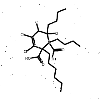 CCCCCCC1(C(=O)O)C(Cl)=C(Cl)C(Cl)C(Cl)(CCCC)C1(CCCC)C(=O)O